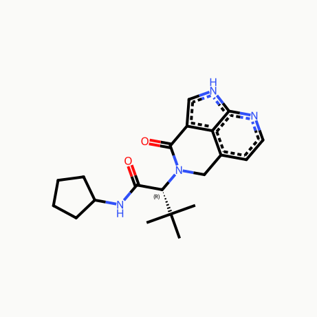 CC(C)(C)[C@H](C(=O)NC1CCCC1)N1Cc2ccnc3[nH]cc(c23)C1=O